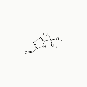 C[Si](C)(C)c1ccc(C=O)[nH]1